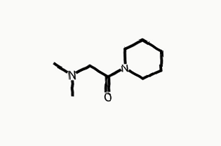 CN(C)CC(=O)N1CCCCC1